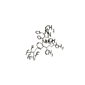 Cc1nn(C)c(Cl)c1C(=O)Nc1ccc(C(C(F)(F)F)C(F)(F)F)cc1C(C)CCC(C)C